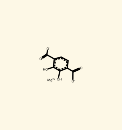 O=C([O-])c1ccc(C(=O)[O-])c(O)c1O.[Mg+2]